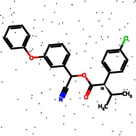 CC(C)[C@H](C(=O)OC(C#N)c1cccc(Oc2ccccc2)c1)c1ccc(Cl)cc1